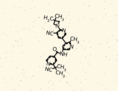 Cc1ncc(NC(=O)c2ccnc(C(C)(C)C#N)c2)cc1-c1cnc(N2CC(C)(C)C2)c(C#N)c1